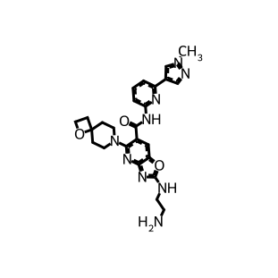 Cn1cc(-c2cccc(NC(=O)c3cc4oc(NCCN)nc4nc3N3CCC4(CCO4)CC3)n2)cn1